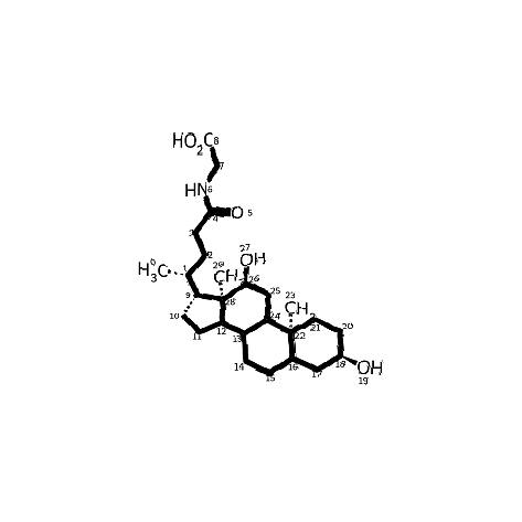 C[C@H](CCC(=O)NCC(=O)O)[C@H]1CCC2C3CCC4C[C@H](O)CC[C@]4(C)C3C[C@H](O)[C@@]21C